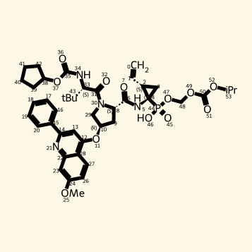 C=C[C@@H]1C[C@]1(NC(=O)[C@@H]1C[C@@H](Oc2cc(-c3ccccc3)nc3cc(OC)ccc23)CN1C(=O)[C@@H](NC(=O)OC1CCCC1)C(C)(C)C)P(=O)(O)OCOC(=O)OC(C)C